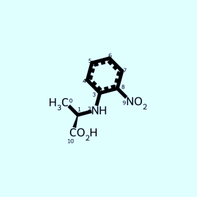 C[C@@H](Nc1ccccc1[N+](=O)[O-])C(=O)O